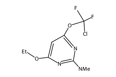 CCOc1cc(OC(F)(F)Cl)nc(NC)n1